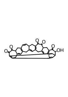 O=C1C(=O)C2CC3=C4C=C2CC2=C1CC1C(=C2)CC2=C(CC5C(=O)C(=O)C6=C(C=C(C4)C(C=C3)C6)CC5=C2)C(=O)C1O